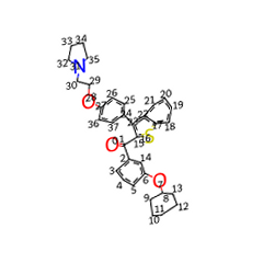 O=C(c1cccc(OC2CCCCC2)c1)c1sc2ccccc2c1-c1ccc(OCCN2CCCC2)cc1